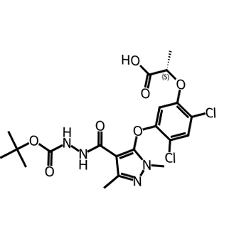 Cc1nn(C)c(Oc2cc(O[C@@H](C)C(=O)O)c(Cl)cc2Cl)c1C(=O)NNC(=O)OC(C)(C)C